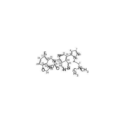 CN(C)CCn1nccc1-c1cnc(N(Cc2c(F)ccc3c2CCO3)C(=O)O)c2cnncc12